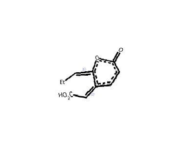 CC/C=c1/oc(=O)cc/c1=C/C(=O)O